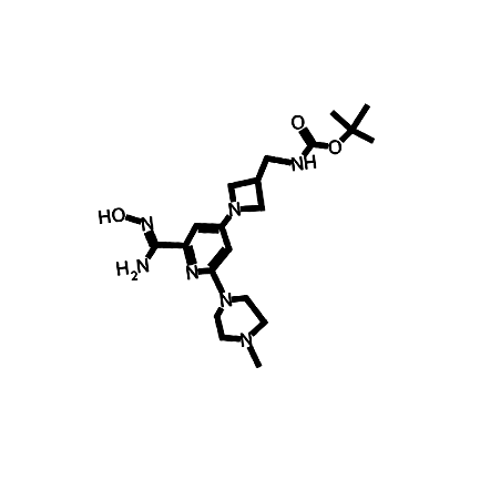 CN1CCN(c2cc(N3CC(CNC(=O)OC(C)(C)C)C3)cc(/C(N)=N/O)n2)CC1